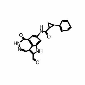 O=Cc1[nH]c2cc(NC(=O)C3C[C@H]3c3ccccc3)cc3c2c1C=NNC3=O